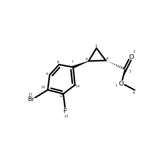 COC(=O)[C@H]1C[C@@H]1c1ccc(Br)c(F)c1